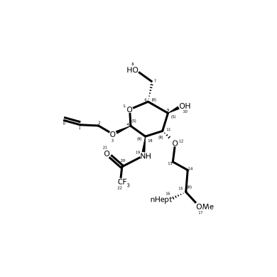 C=CCO[C@H]1O[C@H](CO)[C@@H](O)[C@H](OCC[C@@H](CCCCCCC)OC)[C@H]1NC(=O)C(F)(F)F